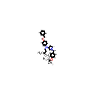 CC(C)CCN(c1ccc(OCc2ccccc2)cc1)C1CCN(Cc2ccc(OC(C)C)cc2)C1